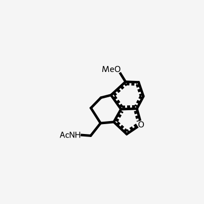 COc1ccc2occ3c2c1CCC3CNC(C)=O